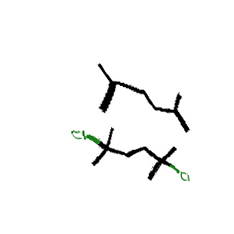 C=C(C)CCC(=C)C.CC(C)(Cl)CCC(C)(C)Cl